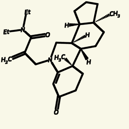 C=C(CN1C[C@H]2[C@@H]3CCC[C@@]3(C)CC[C@@H]2[C@@]2(C)CCC(=O)C=C12)C(=O)N(CC)CC